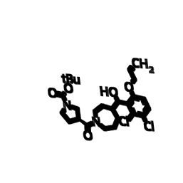 C=CCOc1ccc(Cl)c(Cl)c1C(O)C1CCCN(C(=O)[C@H]2CCN(C(=O)OC(C)(C)C)C2)CC1